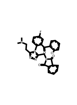 CN(C)CCc1nnc(CN2C(=O)c3ccccc3C2=O)n1-c1ccc(F)cc1C(=O)c1ccccc1Cl